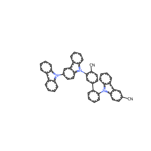 N#Cc1ccc2c(c1)c1ccccc1n2-c1ccccc1-c1ccc(C#N)c(-n2c3ccccc3c3cc(-n4c5ccccc5c5ccccc54)ccc32)c1